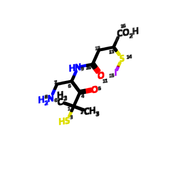 CC(C)(S)C(=O)C(CN)NC(=O)CC(SI)C(=O)O